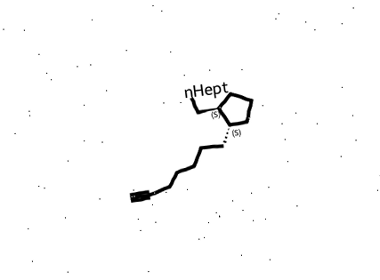 C#CCCCCC[C@H]1CCC[C@@H]1CCCCCCCC